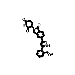 COCc1ccccc1-c1cc(-c2ccc3c(c2)CN(C2CCC(=O)NC2=O)C3=O)n[nH]1